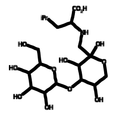 CC(C)CC(NCC1(O)OCC(O)C(OC2OC(CO)C(O)C(O)C2O)C1O)C(=O)O